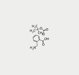 CC(C)(C)OC(=O)Cl.NCc1ccccc1C(=O)O